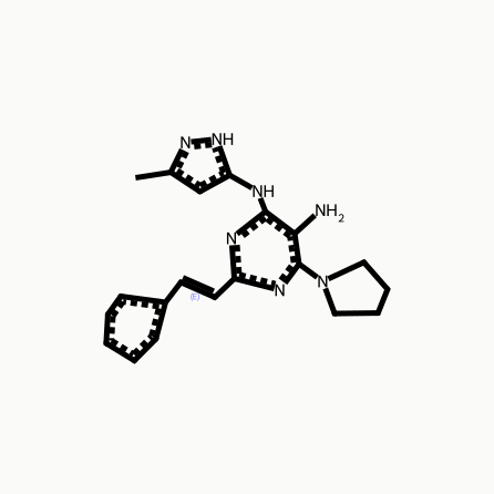 Cc1cc(Nc2nc(/C=C/c3ccccc3)nc(N3CCCC3)c2N)[nH]n1